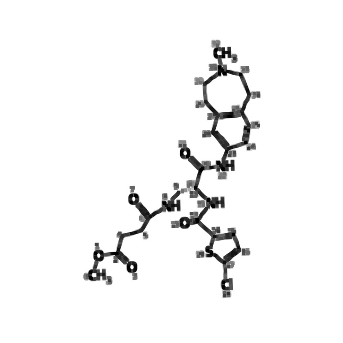 COC(=O)CCC(=O)NC[C@@H](NC(=O)c1ccc(Cl)s1)C(=O)Nc1ccc2c(c1)CCN(C)CC2